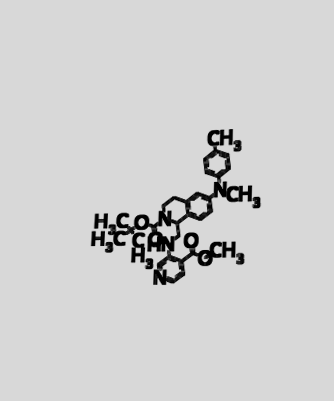 COC(=O)c1ccncc1NCC1c2ccc(N(C)c3ccc(C)cc3)cc2CCN1C(=O)OC(C)(C)C